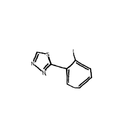 Ic1ccccc1-c1nncs1